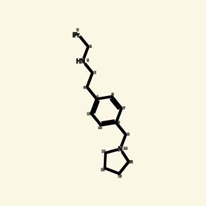 CC(C)CNCCc1ccc(CN2CCCC2)cc1